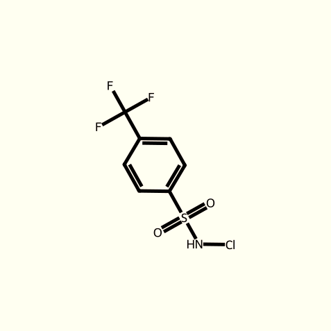 O=S(=O)(NCl)c1ccc(C(F)(F)F)cc1